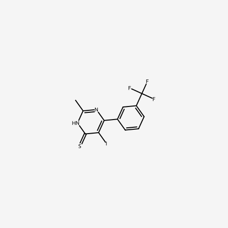 Cc1nc(-c2cccc(C(F)(F)F)c2)c(I)c(=S)[nH]1